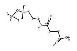 C[Si](C)(C)O[Si](C)(C)CCCOC(=O)CCC(=O)O